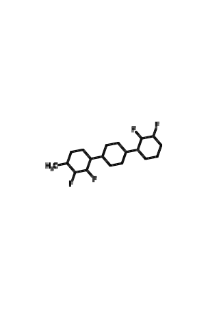 CC1CCC(C2CCC(C3CCCC(F)C3F)CC2)C(F)C1F